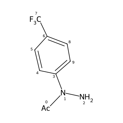 CC(=O)N(N)c1ccc(C(F)(F)F)cc1